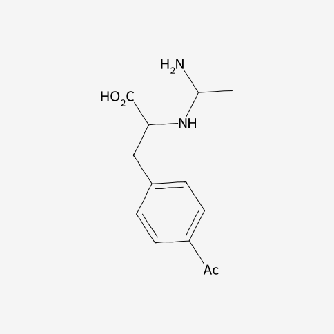 CC(=O)c1ccc(CC(NC(C)N)C(=O)O)cc1